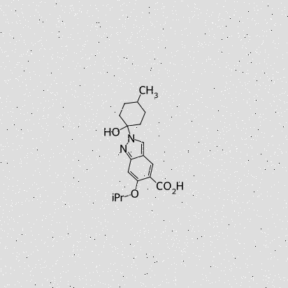 CC1CCC(O)(n2cc3cc(C(=O)O)c(OC(C)C)cc3n2)CC1